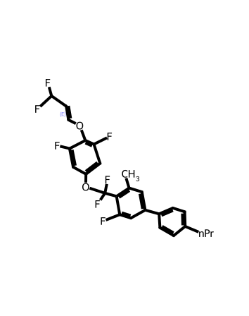 CCCc1ccc(-c2cc(C)c(C(F)(F)Oc3cc(F)c(O/C=C/C(F)F)c(F)c3)c(F)c2)cc1